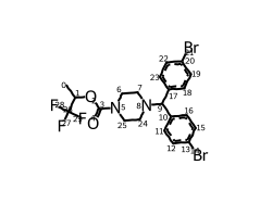 CC(OC(=O)N1CCN(C(c2ccc(Br)cc2)c2ccc(Br)cc2)CC1)C(F)(F)F